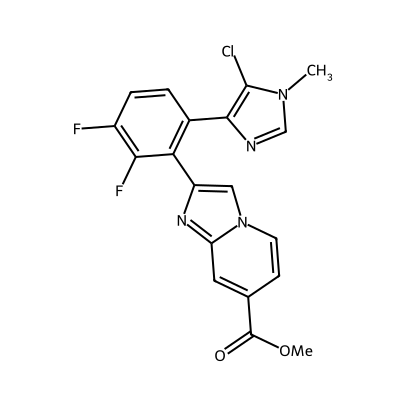 COC(=O)c1ccn2cc(-c3c(-c4ncn(C)c4Cl)ccc(F)c3F)nc2c1